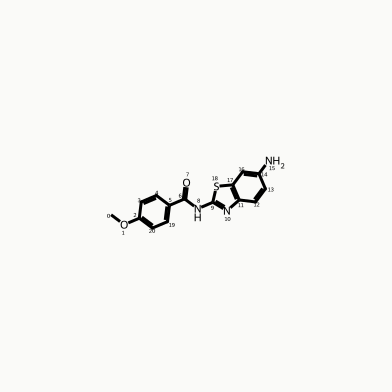 COc1ccc(C(=O)Nc2nc3ccc(N)cc3s2)cc1